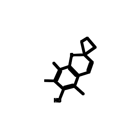 Cc1c(C)c2c(c(C)c1O)C=CC1(CCC1)S2